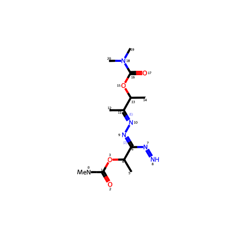 CNC(=O)OC(C)/C(N=N)=N/N=C(\C)C(C)OC(=O)N(C)C